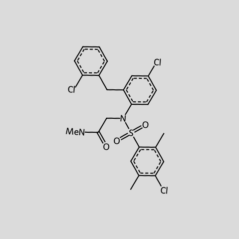 CNC(=O)CN(c1ccc(Cl)cc1Cc1ccccc1Cl)S(=O)(=O)c1cc(C)c(Cl)cc1C